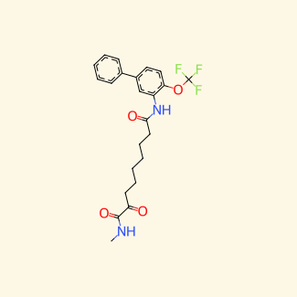 CNC(=O)C(=O)CCCCCCC(=O)Nc1cc(-c2ccccc2)ccc1OC(F)(F)F